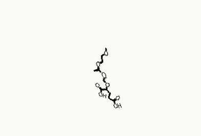 COCCOC(C)OCOC(CCC(=O)O)C(=O)O